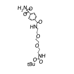 CC(C)(C)OC(=O)NCCOCCOCCNC(=O)c1ccc(S(N)(=O)=O)cc1